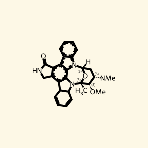 CN[C@H]1C[C@@H]2O[C@](C)([C@H]1OC)N1c3c(c4c(c5c6ccccc6n2c35)C(=O)NC4)C2C=CC=CC21